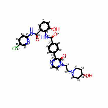 O=C(Nc1c(O)cccc1C(=O)Nc1ccc(Cl)cn1)c1ccc(-c2nccn(CCN3CCC(O)CC3)c2=O)cc1